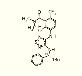 CN(C)C(=O)c1c(C(F)(F)F)ccc(Nc2nsnc2N[C@@H](c2ccccc2)C(C)(C)C)c1O